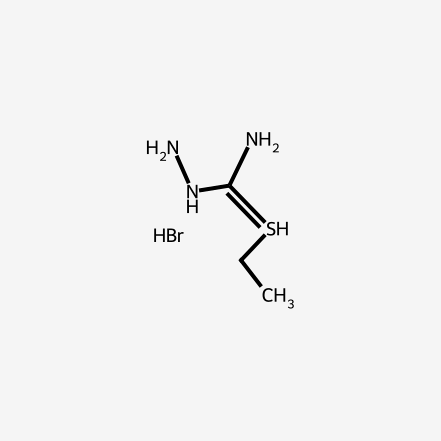 Br.CC[SH]=C(N)NN